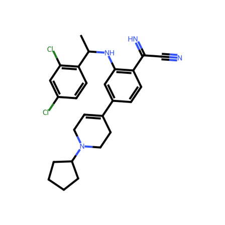 CC(Nc1cc(C2=CCN(C3CCCC3)CC2)ccc1C(=N)C#N)c1ccc(Cl)cc1Cl